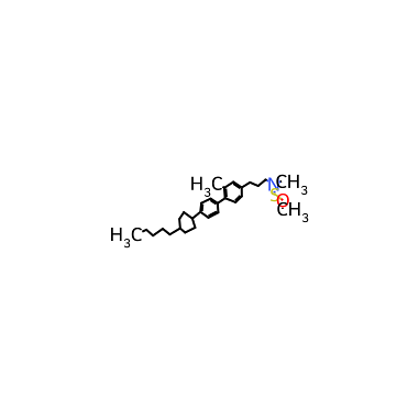 CCCCCC1CCC(c2ccc(-c3ccc(CCCN(C)SOC)cc3C)cc2)CC1